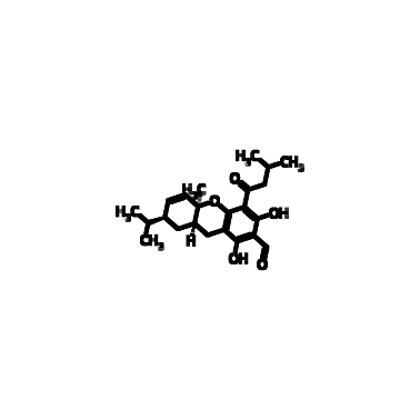 CC(C)CC(=O)c1c(O)c(C=O)c(O)c2c1O[C@]1(C)C=C[C@H](C(C)C)C[C@@H]1C2